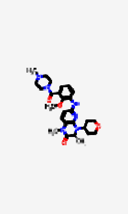 COc1c(Nc2ccc3c(n2)N(C2CCOCC2)[C@H](C)C(=O)N3C)cccc1C(=O)N1CCN(C)CC1